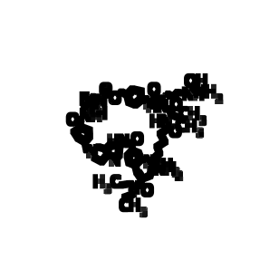 CCCCCCC(=O)N[C@H](C(=O)N[C@@H](CCCNC(N)O)C(=O)Nc1ccc(COC(=O)NCC(F)(F)CNC(=O)c2ccc(CN3CCc4ncc(NC(=O)c5ccc6c(c5)N=C(N)CC(C(=O)N(CCC)CCC)=C6)cc4C3)cc2)cc1)C(C)C